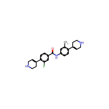 O=C(Nc1ccc(C2=CCNCC2)c(C(F)(F)F)c1)c1ccc(C2=CCNCC2)c(F)c1